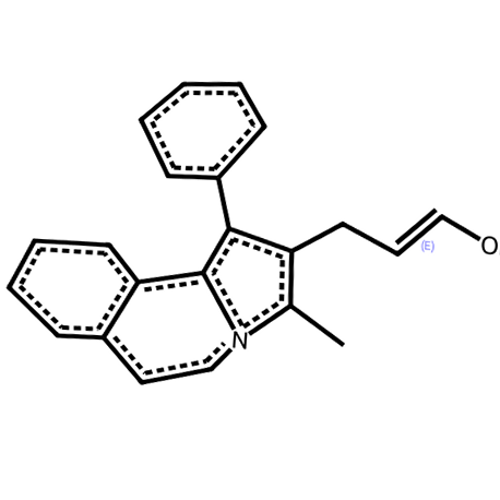 Cc1c(C/C=C/O)c(-c2ccccc2)c2c3ccccc3ccn12